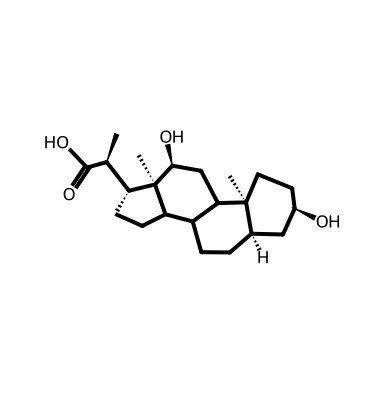 C[C@H](C(=O)O)[C@H]1CCC2C3CC[C@@H]4C[C@H](O)CC[C@]4(C)C3C[C@H](O)[C@@]21C